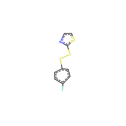 Fc1ccc(SSc2nccs2)cc1